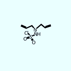 C=CCN(CC=C)NS(=O)(=O)Cl